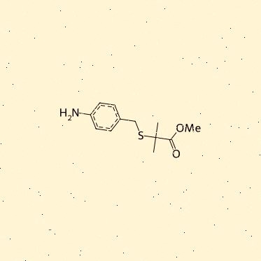 COC(=O)C(C)(C)SCc1ccc(N)cc1